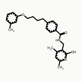 Cc1cccc(OCCCCc2ccc(C(=O)NCc3c(C)cc(C)nc3O)cc2)c1